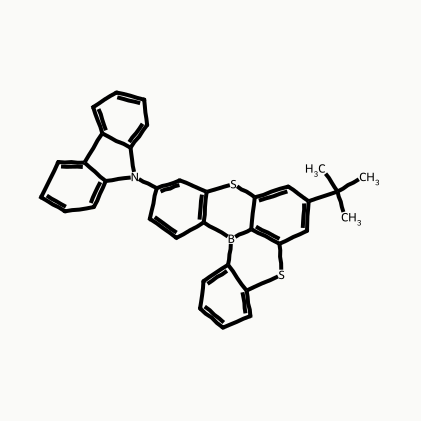 CC(C)(C)c1cc2c3c(c1)Sc1cc(-n4c5ccccc5c5ccccc54)ccc1B3c1ccccc1S2